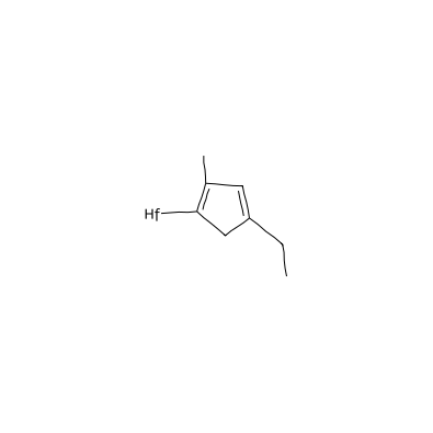 CCC1=CC(C)=[C]([Hf])C1